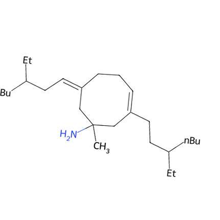 CCCCC(CC)C/C=C1/CC/C=C(/CCC(CC)CCCC)CC(C)(N)C1